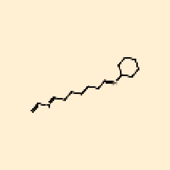 C=C/N=C/CCCCC/C=N/C1CCCCC1